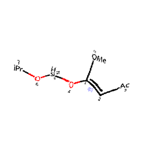 CO/C(=C\C(C)=O)O[SiH2]OC(C)C